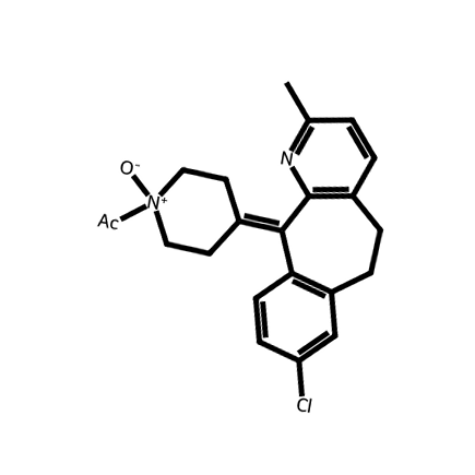 CC(=O)[N+]1([O-])CCC(=C2c3ccc(Cl)cc3CCc3ccc(C)nc32)CC1